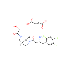 N[C@@H](CC(=O)N1CC[C@H]2CN(C(=O)CO)C[C@H]21)Cc1cc(F)c(F)cc1F.O=C(O)C=CC(=O)O